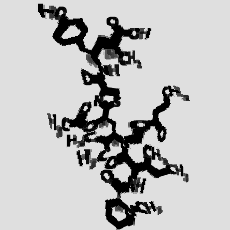 CCCC(=O)OCN(C(=O)C(NC(=O)[C@H]1CCCCN1C)C(C)CC)[C@H](C[C@@H](OC(C)=O)c1nc(C(=O)N[C@@H](Cc2ccc(O)cc2)C[C@H](C)C(=O)O)cs1)C(C)C